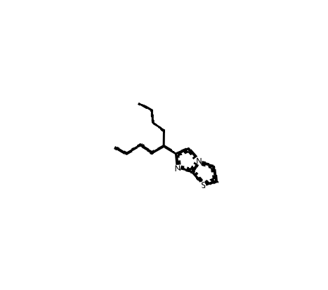 CCCCC(CCCC)c1cn2ccsc2n1